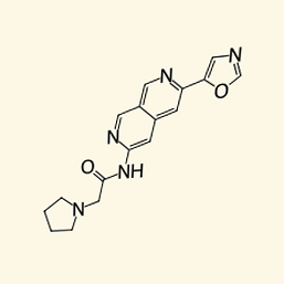 O=C(CN1CCCC1)Nc1cc2cc(-c3cnco3)ncc2cn1